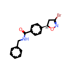 O=C(NCc1ccccc1)c1ccc([C@H]2CC(Br)=NO2)cc1